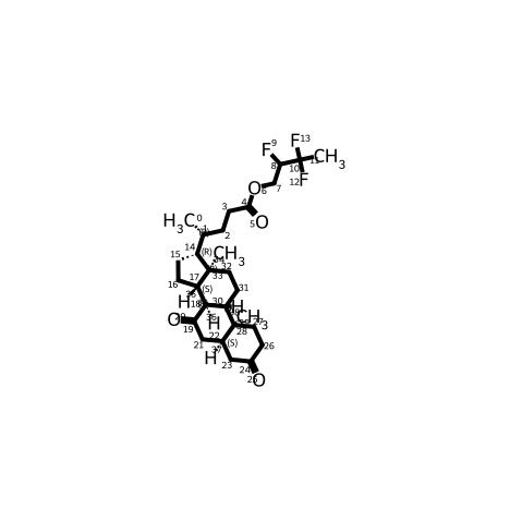 C[C@H](CCC(=O)OCC(F)C(C)(F)F)[C@H]1CC[C@H]2[C@@H]3C(=O)C[C@@H]4CC(=O)CC[C@]4(C)[C@H]3CC[C@]12C